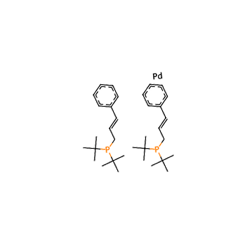 CC(C)(C)P(CC=Cc1ccccc1)C(C)(C)C.CC(C)(C)P(CC=Cc1ccccc1)C(C)(C)C.[Pd]